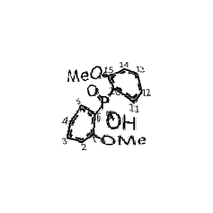 COc1ccccc1P(=O)(O)c1ccccc1OC